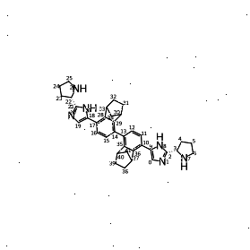 c1nc([C@@H]2CCCN2)[nH]c1-c1ccc(-c2ccc(-c3cnc([C@@H]4CCCN4)[nH]3)c3c2C2CCC3C2)c2c1C1CCC2C1